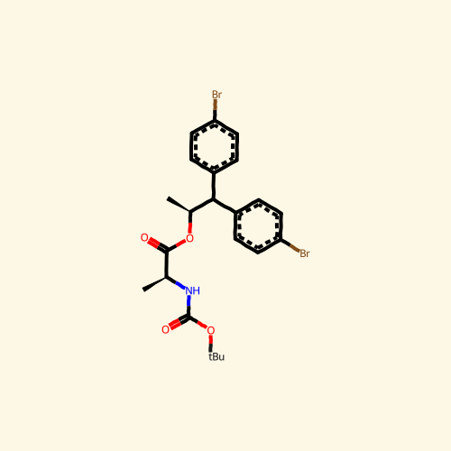 C[C@H](NC(=O)OC(C)(C)C)C(=O)O[C@@H](C)C(c1ccc(Br)cc1)c1ccc(Br)cc1